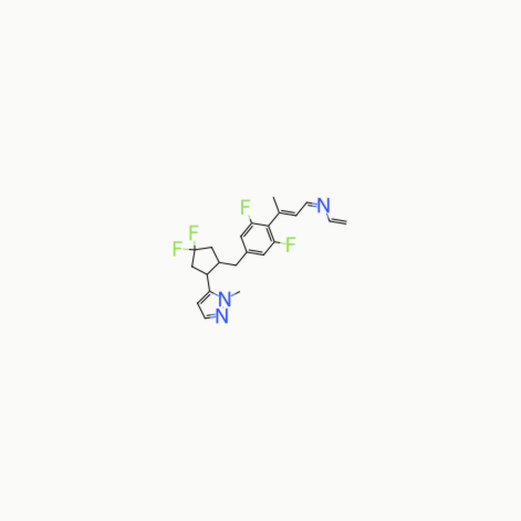 C=C/N=C\C=C(/C)c1c(F)cc(CC2CC(F)(F)CC2c2ccnn2C)cc1F